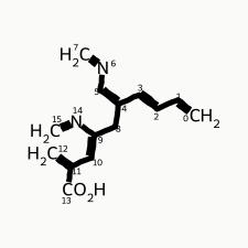 C=C/C=C/C(=C\N=C)C/C(=C/C(=C)C(=O)O)N=C